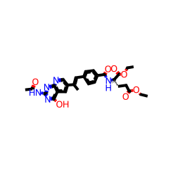 CCOC(=O)CC[C@H](NC(=O)c1ccc(C=C(C)c2cnc3nc(NC(C)=O)nc(O)c3c2)cc1)C(=O)OCC